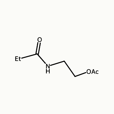 CCC(=O)NCCOC(C)=O